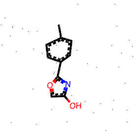 Cc1ccc(-c2nc(O)co2)cc1